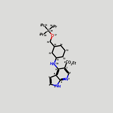 CCOC(=O)c1cnc2[nH]ccc2c1NC1CCCC(CO[Si](C(C)C)(C(C)C)C(C)C)C1